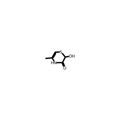 CC1=CSC(O)C(=O)N1